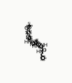 CC1NC=C(C(=O)NCCC2CCCCC2)C=C1Nc1nn(C)c2nc(Nc3ccc(N4CCN(C(=O)OC(C)(C)C)CC4)nc3)ncc12